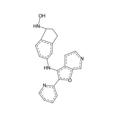 ONC1CCc2cc(Nc3c(-c4ccccn4)oc4cnccc34)ccc21